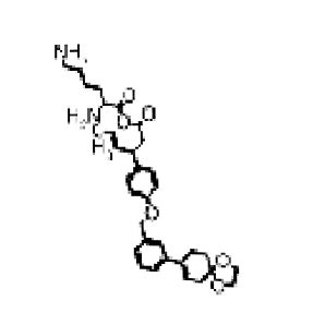 CC=C[C@@H](CC(=O)OC(=O)[C@@H](N)CCCCN)c1ccc(OCc2cccc(C3=CCC4(CC3)OCCO4)c2)cc1